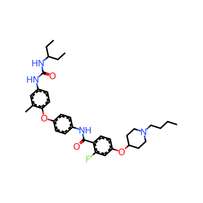 CCCCN1CCC(Oc2ccc(C(=O)Nc3ccc(Oc4ccc(NC(=O)NC(CC)CC)cc4C)cc3)c(F)c2)CC1